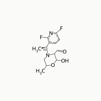 CC1CN([C@@H](C)c2ccc(F)nc2F)C(C=O)C(O)O1